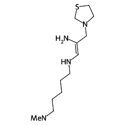 CNCCCCCN/C=C(\N)CN1CCSC1